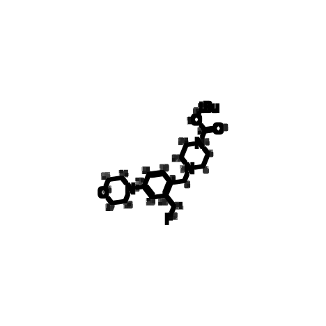 CC(C)(C)OC(=O)N1CCN(Cc2ccc(N3CCOCC3)cc2CF)CC1